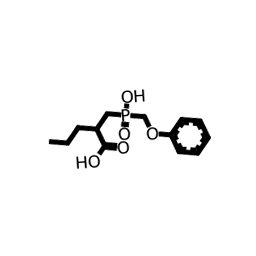 CCCC(CP(=O)(O)COc1ccccc1)C(=O)O